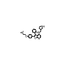 CN(C)CCOc1ccc(-c2oc3nccc(NCC4CCNC4)c3c2-c2ccccc2)cc1